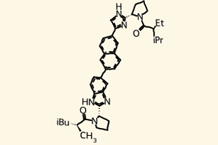 CC[C@H](C(=O)N1CCC[C@H]1c1nc(-c2ccc3cc(-c4ccc5[nH]c([C@@H]6CCCN6C(=O)[C@@H](C)[C@@H](C)CC)nc5c4)ccc3c2)c[nH]1)C(C)C